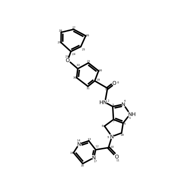 O=C(Nc1n[nH]c2c1CN(C(=O)c1cnccn1)C2)c1ccc(Oc2ccccc2)cc1